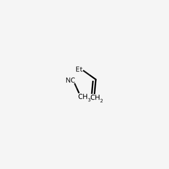 C=CCC.CC#N